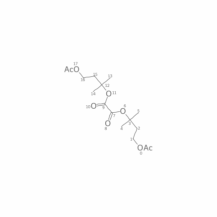 CC(=O)OCCC(C)(C)OC(=O)C(=O)OC(C)(C)CCOC(C)=O